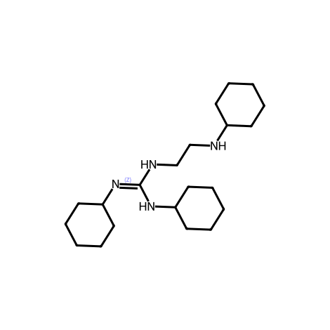 C1CCC(/N=C(/NCCNC2CCCCC2)NC2CCCCC2)CC1